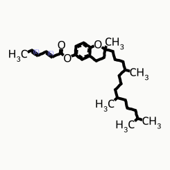 C/C=C/C=C/C(=O)Oc1ccc2c(c1)CCC(C)(CCCC(C)CCCC(C)CCCC(C)C)O2